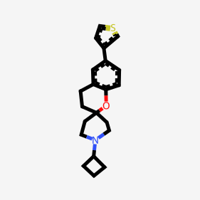 c1cc(-c2ccc3c(c2)CCC2(CCN(C4CCC4)CC2)O3)cs1